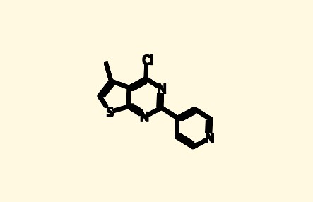 Cc1csc2nc(-c3ccncc3)nc(Cl)c12